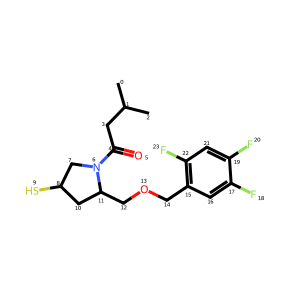 CC(C)CC(=O)N1CC(S)CC1COCc1cc(F)c(F)cc1F